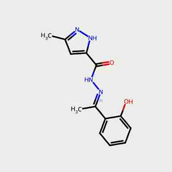 C/C(=N\NC(=O)c1cc(C)n[nH]1)c1ccccc1O